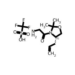 C=CC[C@H]1COC(C)(C)N1C(=O)CN.O=S(=O)(O)C(F)(F)F